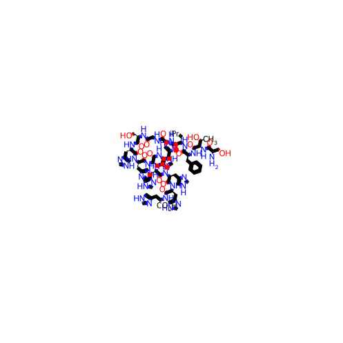 CC(C)C[C@H](NC(=O)[C@H](Cc1ccccc1)NC(=O)[C@@H](NC(=O)[C@@H](N)CO)[C@@H](C)O)C(=O)NCC(=O)NCC(=O)N[C@@H](CO)C(=O)N[C@@H](Cc1c[nH]cn1)C(=O)N[C@@H](Cc1c[nH]cn1)C(=O)N[C@@H](Cc1c[nH]cn1)C(=O)N[C@@H](Cc1c[nH]cn1)C(=O)N[C@@H](Cc1c[nH]cn1)C(=O)N[C@@H](Cc1c[nH]cn1)C(=O)N[C@@H](Cc1c[nH]cn1)C(=O)N[C@@H](Cc1c[nH]cn1)C(=O)O